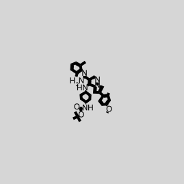 COc1ccc(-c2cc3c(N[C@H]4CC[C@H](NC(=O)OC(C)(C)C)CC4)c(C(N)=Nc4c(C)cccc4C)cnn3c2)c(C)c1